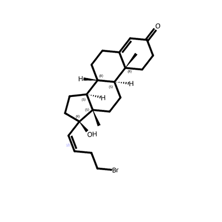 C[C@]12CCC(=O)C=C1CC[C@@H]1[C@@H]2CC[C@@]2(C)[C@H]1CC[C@@]2(O)/C=C\CCBr